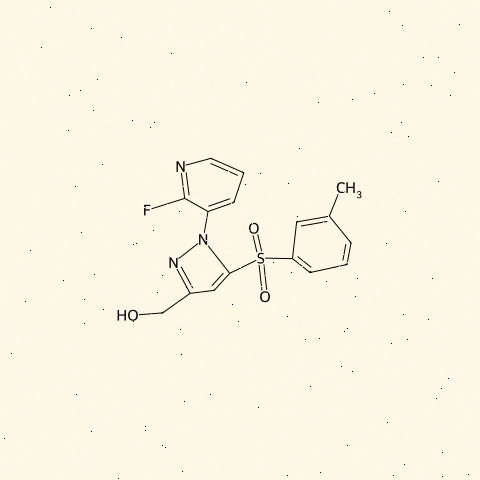 Cc1cccc(S(=O)(=O)c2cc(CO)nn2-c2cccnc2F)c1